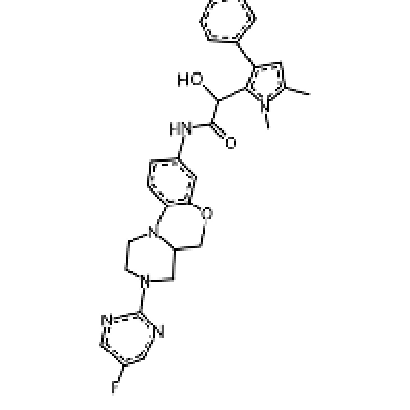 Cc1cc(-c2ccccc2)c(C(O)C(=O)Nc2ccc3c(c2)OCC2CN(c4ncc(F)cn4)CCN32)n1C